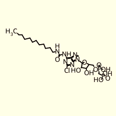 CCCCCCCCCCCCNC(=O)Nc1nc(Cl)nc2c1ncn2C1OC(COP(=O)(O)CP(=O)(O)O)C(O)C1O